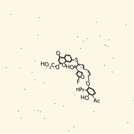 CCCc1c(OCC/C=C\C=C\[C@H](Sc2ccc3c(=O)cc(OC(=O)O)oc3c2)[C@H](O)c2coc(F)c2)ccc(C(C)=O)c1O